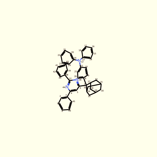 c1ccc(-c2cc(C3(c4ccc(N(c5ccccc5)c5ccccc5)cc4)C4CC5CC(C4)CC3C5)nc(-c3ccccc3)n2)cc1